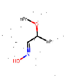 CCCOC(C=NO)CCC